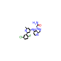 Cc1cc(Nc2ccnc3cnn(CC(N)=O)c23)cc(-c2cc(Cl)ccc2F)n1